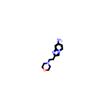 Nc1ccn2cc(CCN3CCOCC3)nc2c1